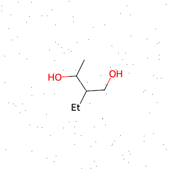 CCC(CO)C(C)O